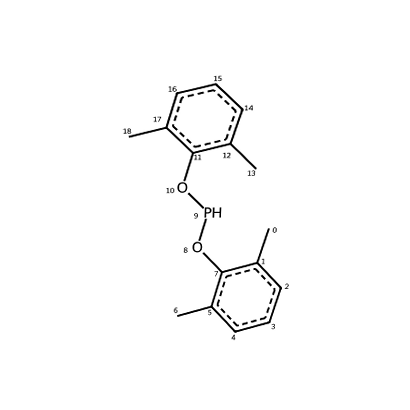 Cc1cccc(C)c1OPOc1c(C)cccc1C